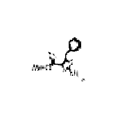 COC(=O)c1nc(N)sc1Cc1ccccc1